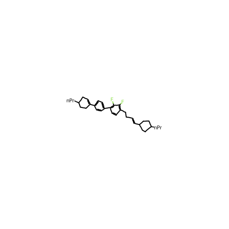 CCCC1CC=C(c2ccc(-c3ccc(CC/C=C/C4CCC(CCC)CC4)c(F)c3F)cc2)CC1